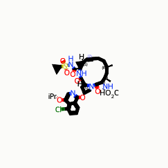 CC(C)Oc1cnc(O[C@@H]2C[C@H]3C(=O)N[C@]4(C(=O)NS(=O)(=O)C5CC5)C[C@H]4/C=C\CC[C@@H](C)C[C@@H](C)[C@H](NC(=O)O)C(=O)N3C2)c2cccc(Cl)c12